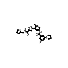 Cc1ncc(NC(=O)c2cc(F)cc(N3CCCC3)c2)cc1-n1cc(C(=O)NCC2CCCO2)nn1